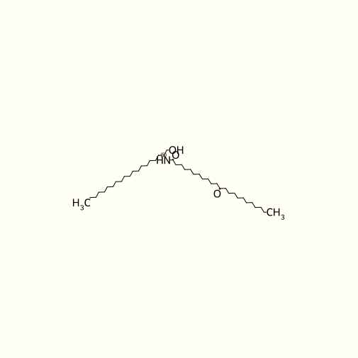 CCCCCCCCCCCCCCCCCC[C@@H](CO)NC(=O)CCCCCCCCCCC(=O)CCCCCCCCCCC